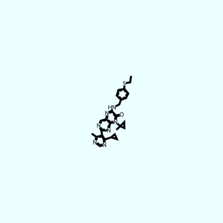 CCSc1ccc(CNc2nc3cnc(-c4c(C)ncnc4C4CC4)nc3n(C3(C)CC3)c2=O)cc1